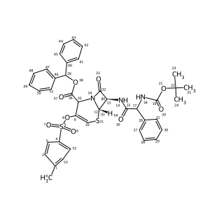 Cc1ccc(S(=O)(=O)OC2=CS[C@H]3[C@H](NC(=O)C(NC(=O)OC(C)(C)C)c4ccccc4)C(=O)N3C2C(=O)OC(c2ccccc2)c2ccccc2)cc1